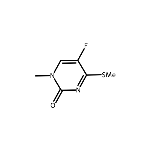 CSc1nc(=O)n(C)cc1F